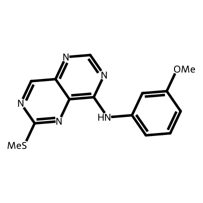 COc1cccc(Nc2ncnc3cnc(SC)nc23)c1